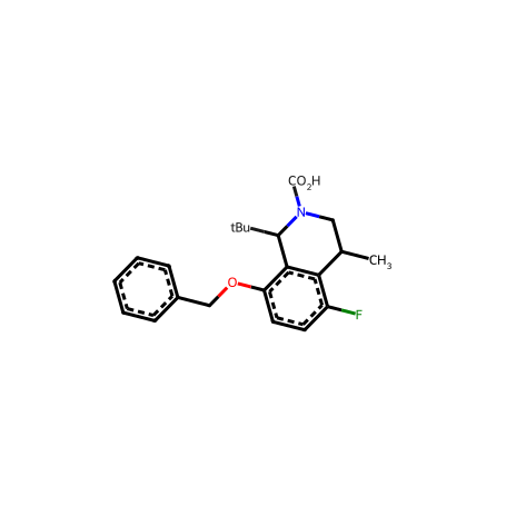 CC1CN(C(=O)O)C(C(C)(C)C)c2c(OCc3ccccc3)ccc(F)c21